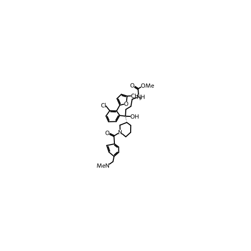 CNCc1ccc(C(=O)N2CCC[C@@H](C(O)(CCCNC(=O)OC)c3cccc(Cl)c3-c3ccc(C)o3)C2)cc1